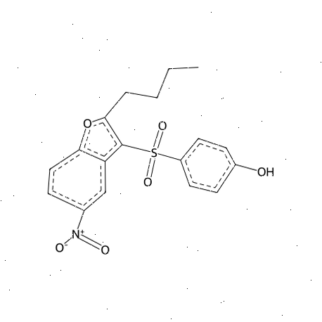 CCCCc1oc2ccc([N+](=O)[O-])cc2c1S(=O)(=O)c1ccc(O)cc1